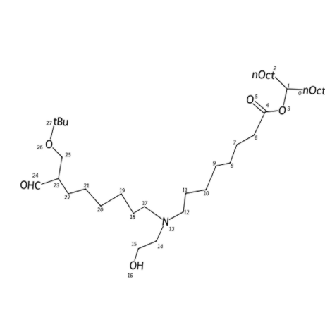 CCCCCCCCC(CCCCCCCC)OC(=O)CCCCCCCN(CCO)CCCCCCC(C=O)COC(C)(C)C